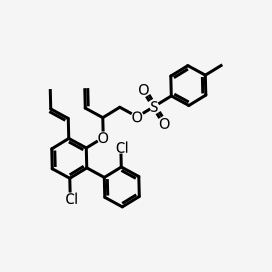 C=CC(COS(=O)(=O)c1ccc(C)cc1)Oc1c(C=CC)ccc(Cl)c1-c1ccccc1Cl